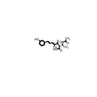 CC(=O)NC(C)[C@H](C(=O)S)C(=O)/C(C)=C/C=C/c1cccc(O)c1